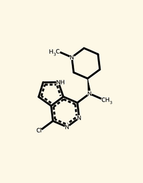 CN1CCC[C@@H](N(C)c2nnc(Cl)c3cc[nH]c23)C1